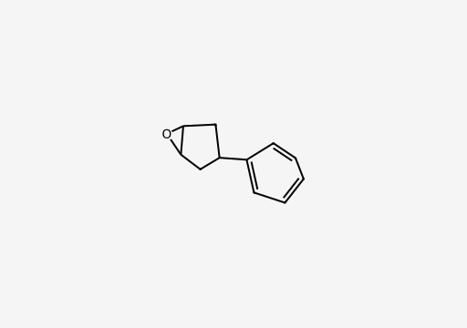 c1ccc(C2CC3OC3C2)cc1